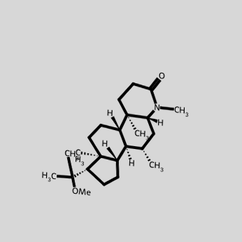 COC(C)(C)[C@H]1CC[C@H]2[C@@H]3[C@@H](C)C[C@H]4N(C)C(=O)CC[C@]4(C)[C@H]3CC[C@]12C